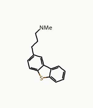 CNCCCc1ccc2sc3ccccc3c2c1